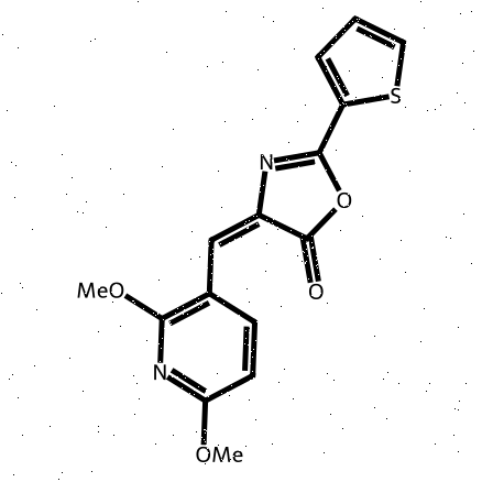 COc1ccc(C=C2N=C(c3cccs3)OC2=O)c(OC)n1